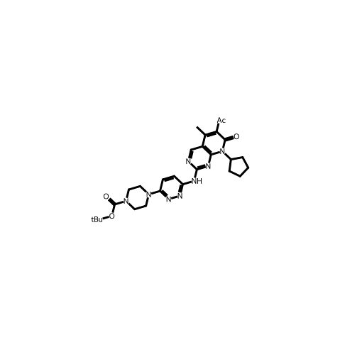 CC(=O)c1c(C)c2cnc(Nc3ccc(N4CCN(C(=O)OC(C)(C)C)CC4)nn3)nc2n(C2CCCC2)c1=O